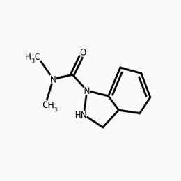 CN(C)C(=O)N1NCC2CC=CC=C21